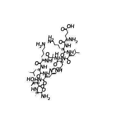 CC(C)C[C@H](NC(=O)[C@H](CCCCN)NC(=O)[C@@H](N)CCC(=O)O)C(=O)N[C@@H](CC(C)C)C(=O)NC(C)(C)C(=O)N[C@@H](CCCCN)C(=O)N[C@@H](CC(C)C)C(=O)N[C@@H](Cc1c[nH]cn1)C(=O)N[C@H](C(=O)N[C@@H](C)C(N)=O)[C@@H](C)O